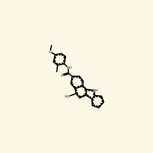 COc1ccc(NC(=O)c2ccc3c(c2)c(O)cc2c4ccccc4[nH]c32)c(C)c1